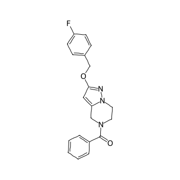 O=C(c1ccccc1)N1CCn2nc(OCc3ccc(F)cc3)cc2C1